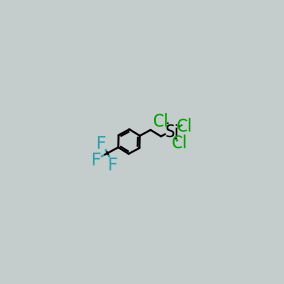 FC(F)(F)c1ccc(CC[Si](Cl)(Cl)Cl)cc1